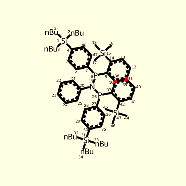 CCCC[Si](CCCC)(CCCC)c1ccc(P(c2ccccc2[Si](C)(C)C)N(c2ccccc2)P(c2ccc([Si](CCCC)(CCCC)CCCC)cc2)c2ccccc2[Si](C)(C)C)cc1